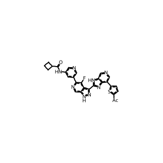 CC(=O)c1ccc(-c2cncc3[nH]c(-c4n[nH]c5cnc(-c6cncc(NC(=O)C7CCC7)c6)c(F)c45)nc23)s1